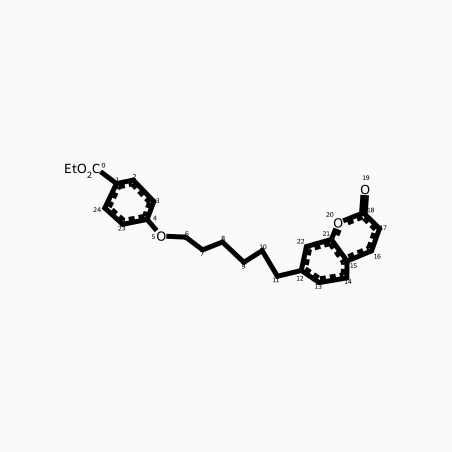 CCOC(=O)c1ccc(OCCCCCCc2ccc3ccc(=O)oc3c2)cc1